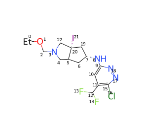 CCOCN1CC2C[C@@H](Nc3cc(C(F)F)c(Cl)nn3)C[C@]2(I)C1